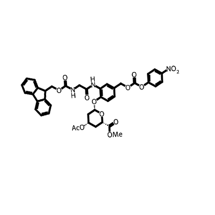 COC(=O)[C@@H]1C[C@H](OC(C)=O)C[C@H](Oc2ccc(COC(=O)Oc3ccc([N+](=O)[O-])cc3)cc2NC(=O)CNC(=O)OCC2c3ccccc3-c3ccccc32)O1